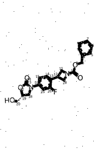 O=C(OCc1ccccc1)N1CC(c2ccc(N3C[C@H](CO)OC3=O)cc2F)C1